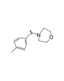 Cc1ccc(SN2CCOCC2)cc1